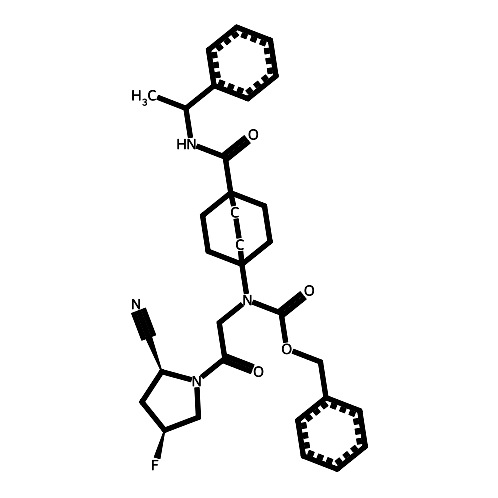 CC(NC(=O)C12CCC(N(CC(=O)N3C[C@@H](F)C[C@H]3C#N)C(=O)OCc3ccccc3)(CC1)CC2)c1ccccc1